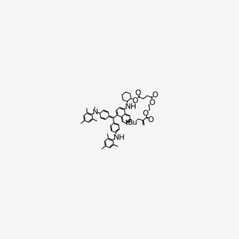 C=C(CC(C)(C)C)C(=O)OCCOC(=O)CCC(=O)OC1CCCCC1Nc1ccc(C(=C2C=CC(N(C)c3c(C)cc(C)cc3C)C=C2)c2ccc(Nc3c(C)cc(C)cc3C)cc2)c2ccccc12